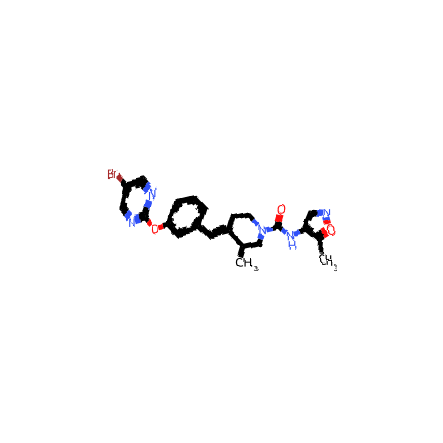 Cc1oncc1NC(=O)N1CC/C(=C\c2cccc(Oc3ncc(Br)cn3)c2)C(C)C1